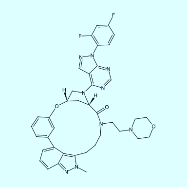 Cn1nc2cccc3c2c1CCCN(CCN1CCOCC1)C(=O)[C@@H]1C[C@@H](CN1c1ncnc2c1cnn2-c1ccc(F)cc1F)Oc1cccc-3c1